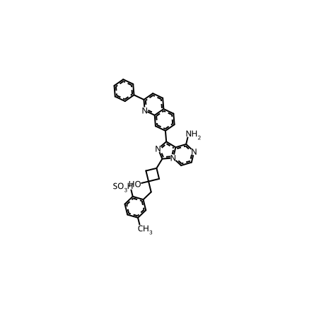 Cc1ccc(S(=O)(=O)O)c(CC2(O)CC(c3nc(-c4ccc5ccc(-c6ccccc6)nc5c4)c4c(N)nccn34)C2)c1